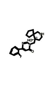 O=c1cc(-c2ccccc2F)ncn1C[C@]1(O)CCNCC12CCCC2